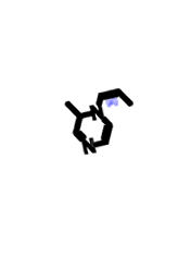 C/C=C\N1C=CN=CC1C